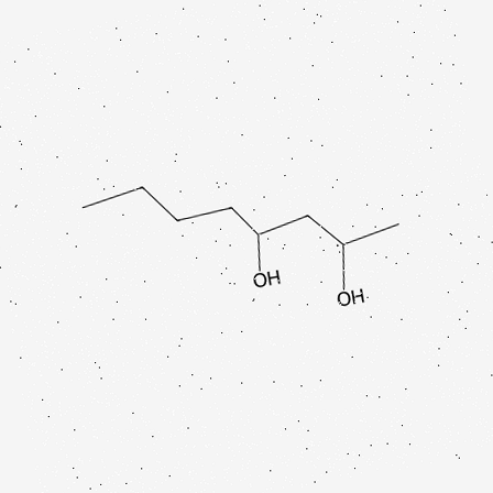 CCCCC(O)C[C](C)O